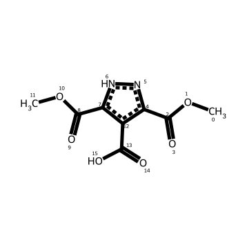 COC(=O)c1n[nH]c(C(=O)OC)c1C(=O)O